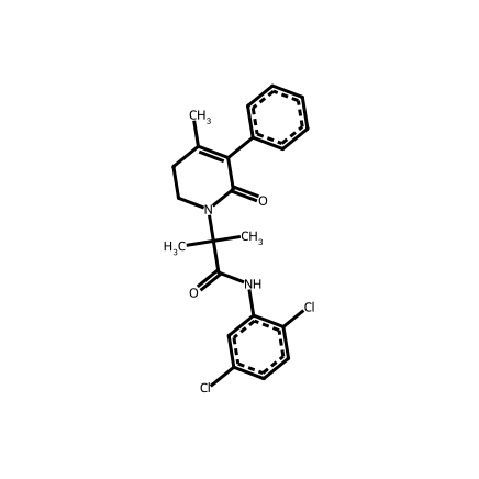 CC1=C(c2ccccc2)C(=O)N(C(C)(C)C(=O)Nc2cc(Cl)ccc2Cl)CC1